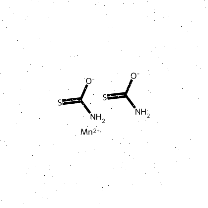 NC([O-])=S.NC([O-])=S.[Mn+2]